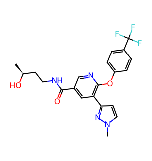 C[C@H](O)CCNC(=O)c1cnc(Oc2ccc(C(F)(F)F)cc2)c(-c2ccn(C)n2)c1